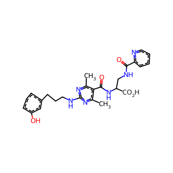 Cc1nc(NCCCc2cccc(O)c2)nc(C)c1C(=O)NC(CNC(=O)c1ccccn1)C(=O)O